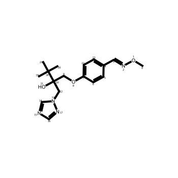 CON=Cc1ccc(OCC(O)(Cn2cncn2)C(C)(C)C)cc1